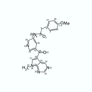 COc1ccc(CC(=O)Nc2cncc(C(=O)c3cn(C)c4ncncc34)c2)cc1